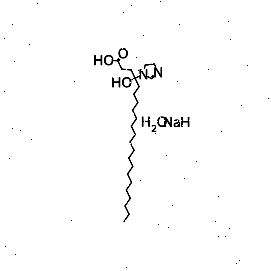 CCCCCCCCCCCCCCCCCCC(O)(CCC(=O)O)N1C=NCC1.O.[NaH]